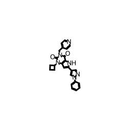 O=c1c2[nH]c(-c3cnn(-c4ccccc4)c3)cc2n(C2CCC2)c(=O)n1Cc1ccncc1